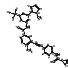 Cc1ccc(C(=O)Nc2cc(-c3nccn3C)cc(C(F)(F)F)c2)cc1C#Cc1cnc(NC(=O)C2CC2)nc1